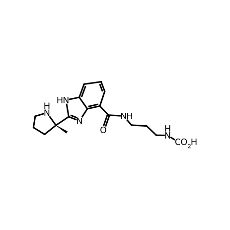 C[C@@]1(c2nc3c(C(=O)NCCCNC(=O)O)cccc3[nH]2)CCCN1